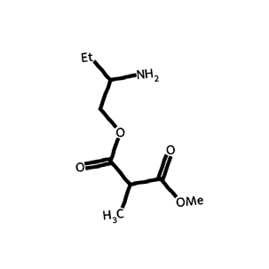 CCC(N)COC(=O)C(C)C(=O)OC